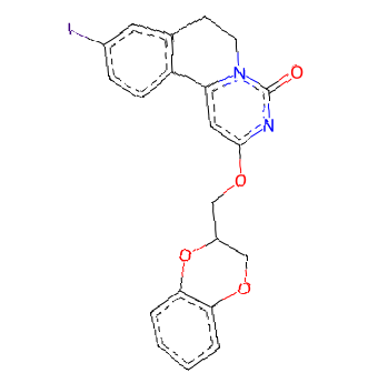 O=c1nc(OCC2COc3ccccc3O2)cc2n1CCc1cc(I)ccc1-2